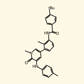 Cc1ccc(Nc2cc(-c3cccc(NC(=O)c4ccc(C(C)(C)C)cc4)c3C)cn(C)c2=O)cc1